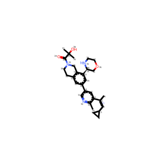 C/C(=C/C1CC1)c1cc(-c2cc3c(c([C@@H]4COCCN4)c2)CN(C(=O)C(C)(C)O)CC3)cnc1C